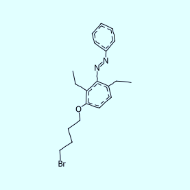 CCc1ccc(OCCCCBr)c(CC)c1N=Nc1ccccc1